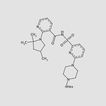 CCCCCCN1CCN(c2cccc(S(=O)(=O)NC(=O)c3cccnc3N3CC(C)CC3(C)C)n2)CC1